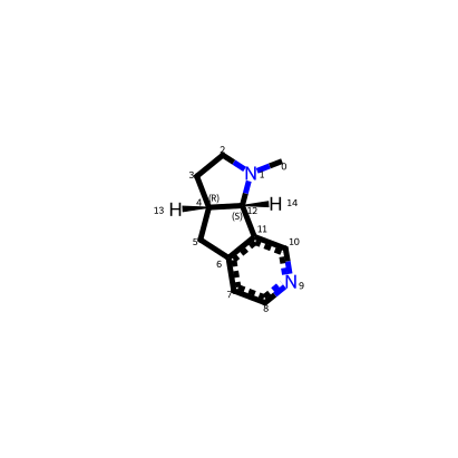 CN1CC[C@H]2Cc3ccncc3[C@H]21